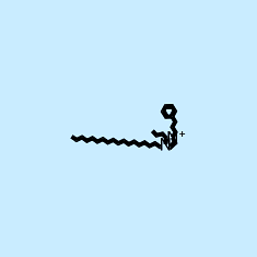 CCCCCCCCCCCCCCCCCCn1cc[n+](CCCc2ccccc2)c1CCC